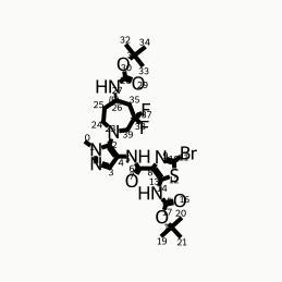 Cn1ncc(NC(=O)c2nc(Br)sc2NC(=O)OC(C)(C)C)c1N1CC[C@@H](NC(=O)OC(C)(C)C)CC(F)(F)C1